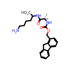 C[C@H](NC(=O)OCc1cccc2c1Cc1ccccc1-2)C(=O)NC(CCCCN)C(=O)O